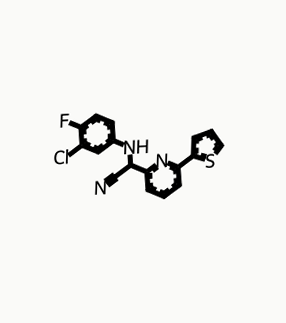 N#CC(Nc1ccc(F)c(Cl)c1)c1cccc(-c2cccs2)n1